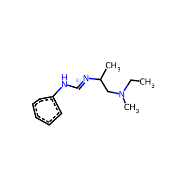 CCN(C)CC(C)/N=C/Nc1ccccc1